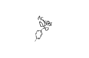 CC(=O)N(Br)S(=O)(=O)c1ccc(C)cc1